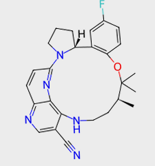 C[C@H]1CCNc2c(C#N)cnc3ccc(nc23)N2CCC[C@@H]2c2cc(F)ccc2OC1(C)C